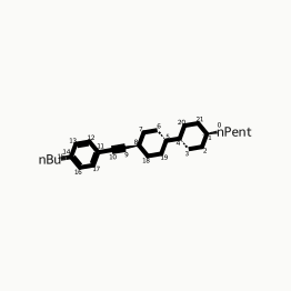 CCCCC[C@H]1CC[C@H]([C@H]2CC[C@H](C#Cc3ccc(CCCC)cc3)CC2)CC1